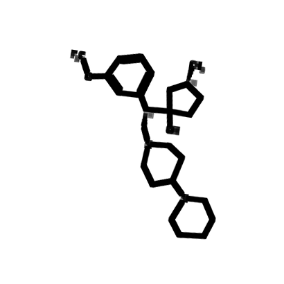 C[C@@H]1CCC(O)([C@H](CN2CCC(N3CCCCC3)CC2)c2cccc(OC(F)(F)F)c2)C1